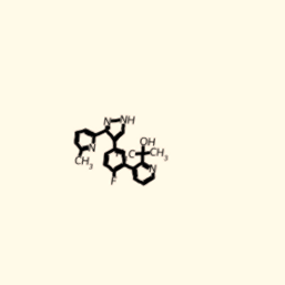 Cc1cccc(-c2n[nH]cc2-c2ccc(F)c(-c3cccnc3C(C)(C)O)c2)n1